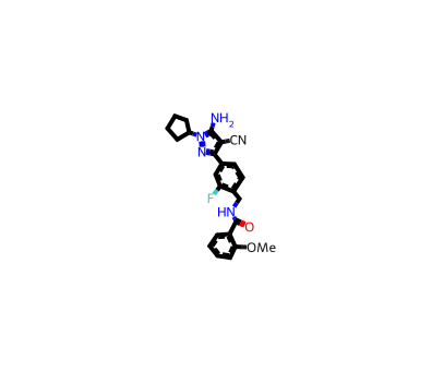 COc1ccccc1C(=O)NCc1ccc(-c2nn(C3CCCC3)c(N)c2C#N)cc1F